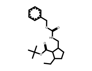 CCC1CCC(CNC(=O)OCc2ccccc2)C1C(=O)OC(C)(C)C